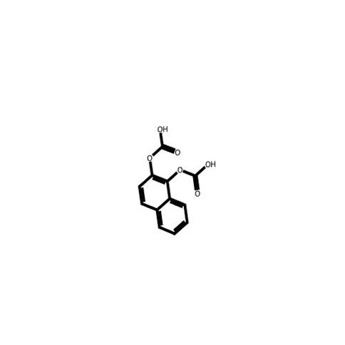 O=C(O)Oc1ccc2ccccc2c1OC(=O)O